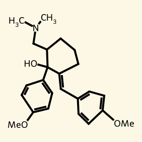 COc1ccc(C=C2CCCC(CN(C)C)C2(O)c2ccc(OC)cc2)cc1